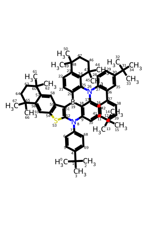 CC(C)(C)c1ccc(N2c3cc(C(C)(C)C)cc4c3B(c3ccc5c(c3N4c3ccc(C(C)(C)C)cc3-c3ccccc3)C(C)(C)CCC5(C)C)c3c2sc2cc4c(cc32)C(C)(C)CCC4(C)C)cc1